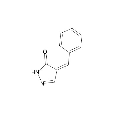 O=C1NN=CC1=Cc1ccccc1